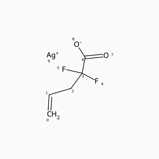 C=CCC(F)(F)C(=O)[O-].[Ag+]